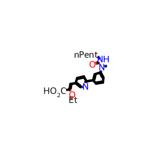 CCCCCNC(=O)N(C)c1cccc(-c2ccc(/C=C(\OCC)C(=O)O)cn2)c1